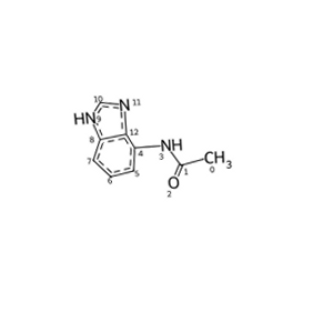 CC(=O)Nc1cccc2[nH]cnc12